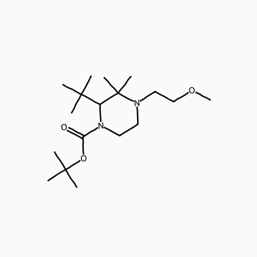 COCCN1CCN(C(=O)OC(C)(C)C)C(C(C)(C)C)C1(C)C